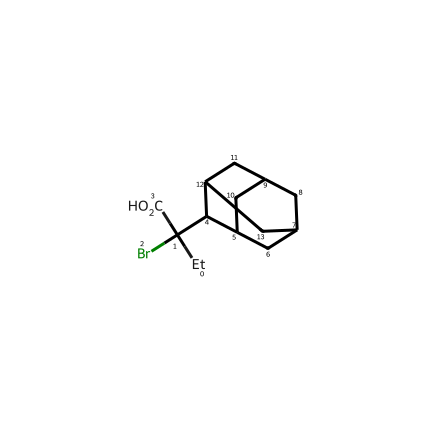 CCC(Br)(C(=O)O)C1C2CC3CC(C2)CC1C3